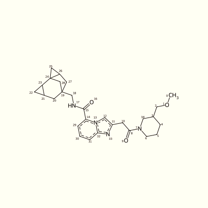 COCC1CCCN(C(=O)Cc2cn3c(C(=O)NCC45CC6CC6C6(CC6C4)C5)cccc3n2)C1